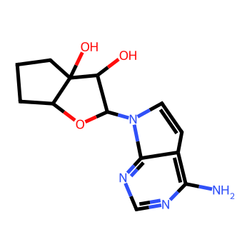 Nc1ncnc2c1ccn2C1OC2CCCC2(O)C1O